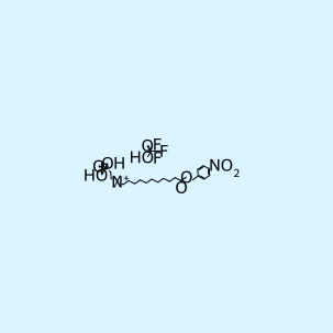 C[N+](C)(CCCCCCCCCCC(=O)OCc1ccc([N+](=O)[O-])cc1)CCP(=O)(O)O.O=C(O)C(F)(F)F